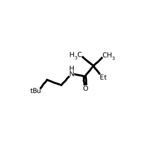 CCC(C)(C)C(=O)NCCC(C)(C)C